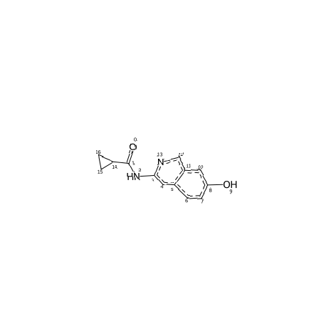 O=C(Nc1cc2ccc(O)cc2cn1)C1CC1